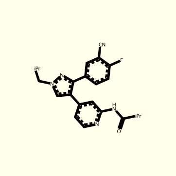 CC(C)Cn1cc(-c2ccnc(NC(=O)C(C)C)c2)c(-c2ccc(F)c(C#N)c2)n1